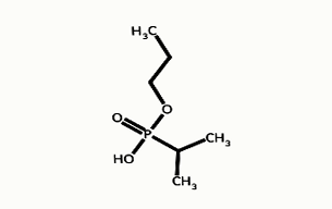 CCCOP(=O)(O)C(C)C